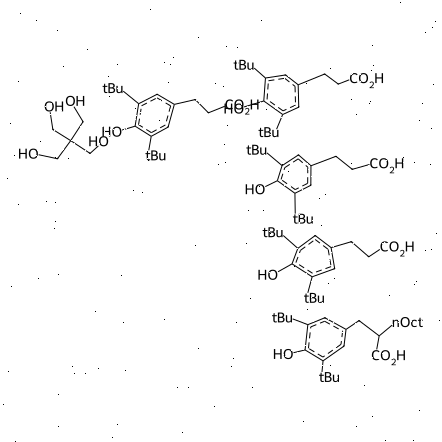 CC(C)(C)c1cc(CCC(=O)O)cc(C(C)(C)C)c1O.CC(C)(C)c1cc(CCC(=O)O)cc(C(C)(C)C)c1O.CC(C)(C)c1cc(CCC(=O)O)cc(C(C)(C)C)c1O.CC(C)(C)c1cc(CCC(=O)O)cc(C(C)(C)C)c1O.CCCCCCCCC(Cc1cc(C(C)(C)C)c(O)c(C(C)(C)C)c1)C(=O)O.OCC(CO)(CO)CO